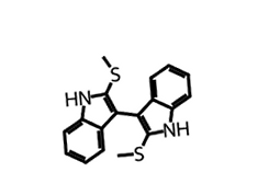 CSc1[nH]c2ccccc2c1-c1c(SC)[nH]c2ccccc12